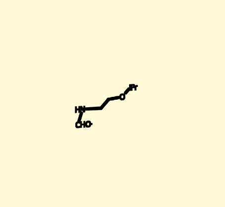 CC(C)OCCN[C]=O